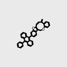 C=C1/C=C\c2oc3cc(-c4c5ccccc5c(-c5ccccc5)c5ccccc45)ccc3c2COc2ccccc21